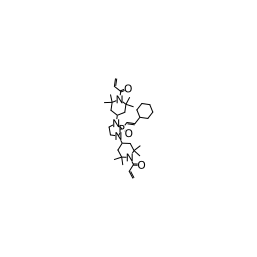 C=CC(=O)N1C(C)(C)CC(N2CCN(C3CC(C)(C)N(C(=O)C=C)C(C)(C)C3)P2(=O)C=CC2CCCCC2)CC1(C)C